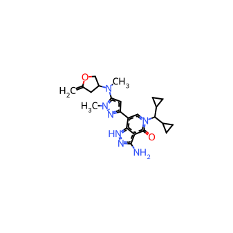 C=C1CC(N(C)c2cc(-c3cn(C(C4CC4)C4CC4)c(=O)c4c(N)n[nH]c34)nn2C)CO1